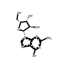 Nc1nc(S)c2ncn([C@@H]3O[C@H](CO)[C@H](O)[C@H]3O)c2n1